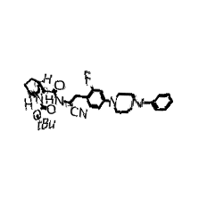 CC(C)(C)OC(=O)N1[C@@H]2CC[C@@H](C2)[C@H]1C(=O)N[C@H](C#N)Cc1ccc(N2CCN(c3ccccc3)CC2)cc1F